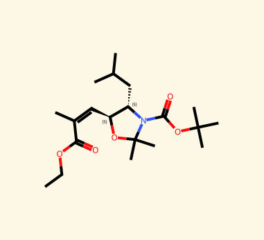 CCOC(=O)C(C)=C[C@@H]1OC(C)(C)N(C(=O)OC(C)(C)C)[C@H]1CC(C)C